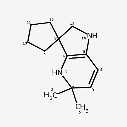 CC1(C)C=CC2=C(N1)C1(CCCC1)CN2